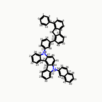 c1ccc(-c2cccc3c2Cc2c(-c4cccc(-n5c6ccccc6c6c7c8ccccc8n(-c8ccc9ccccc9c8)c7ccc65)c4)cccc2-3)cc1